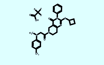 CN(CC(=O)N1CCc2nc(SC3CCC3)n(-c3ccccc3)c(=O)c2C1)c1ccc(C(F)(F)F)cc1.O=C(O)C(F)(F)F